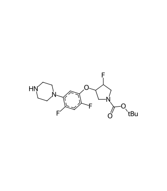 CC(C)(C)OC(=O)N1CC(F)C(Oc2cc(N3CCNCC3)c(F)cc2F)C1